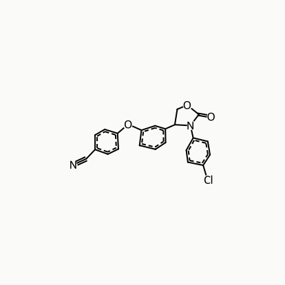 N#Cc1ccc(Oc2cccc(C3COC(=O)N3c3ccc(Cl)cc3)c2)cc1